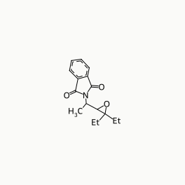 CCC1(CC)OC1C(C)N1C(=O)c2ccccc2C1=O